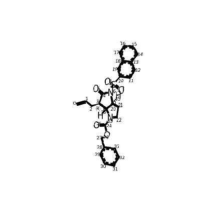 C=CC[C@H]1C(=O)N(S(=O)(=O)c2ccc3ccccc3c2)[C@H]2CCN(C(=O)OCc3ccccc3)[C@H]12